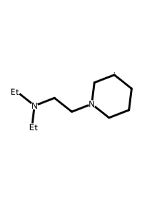 CCN(CC)CCN1C[CH]CCC1